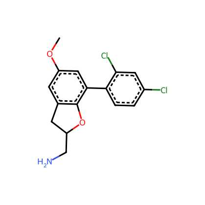 COc1cc2c(c(-c3ccc(Cl)cc3Cl)c1)OC(CN)C2